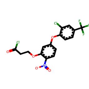 O=C(Cl)CCOc1cc(Oc2ccc(C(F)(F)F)cc2Cl)ccc1[N+](=O)[O-]